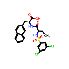 CCC(NS(=O)(=O)c1cc(Cl)cc(Cl)c1)C(=O)N[C@@H](Cc1ccc2ccccc2c1)C(=O)O